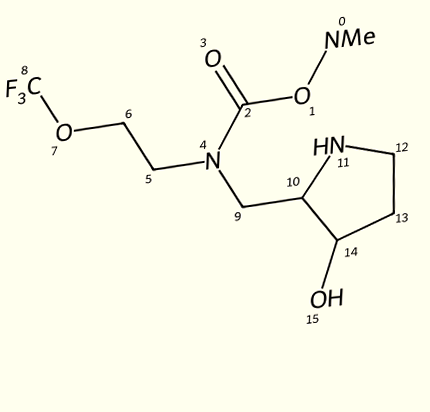 CNOC(=O)N(CCOC(F)(F)F)CC1NCCC1O